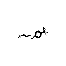 O=C(Br)c1ccc(OCCCBr)cc1